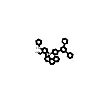 N=Cc1c(Nc2ccccc2)ccc2c1c1ccc3ccc4ccccc4c3c1n2-c1ccc(-c2cc(-c3ccccc3)cc(C3C=CC=CC3)c2)cc1